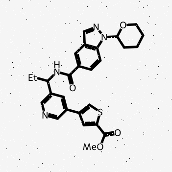 CCC(NC(=O)c1ccc2c(cnn2C2CCCCO2)c1)c1cncc(-c2csc(C(=O)OC)c2)c1